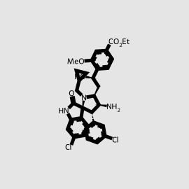 CCOC(=O)c1ccc([C@H](O)C[C@H]2[C@@H](N)[C@H](c3cccc(Cl)c3)[C@]3(C(=O)Nc4cc(Cl)ccc43)N2CC2CC2)c(OC)c1